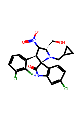 O=C1Nc2cc(Cl)ccc2[C@@]12[C@@H](c1cccc(Cl)c1F)C([N+](=O)[O-])[C@H](CO)N2CC1CC1